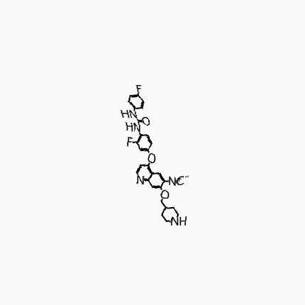 [C-]#[N+]c1cc2c(Oc3ccc(NC(=O)Nc4ccc(F)cc4)c(F)c3)ccnc2cc1OCC1CCNCC1